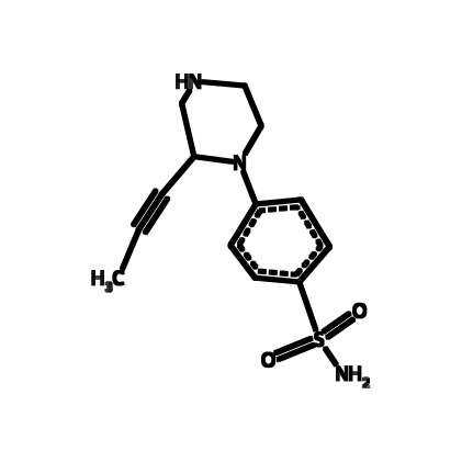 CC#CC1CNCCN1c1ccc(S(N)(=O)=O)cc1